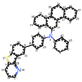 c1ccc(N(c2ccc(-c3ccc4sc5cccnc5c4c3)cc2)c2cc3c4ccccc4ccc3c3ccccc23)cc1